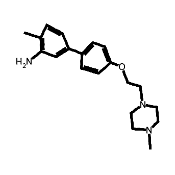 Cc1ccc(-c2ccc(OCCN3CCN(C)CC3)cc2)cc1N